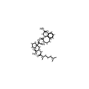 CN(C)CCCN(C)C(=O)C[C@H](CC1(C(=O)N[C@H]2CCc3ccccc3N(CC(=O)O)C2=O)CCCC1)C(=O)O